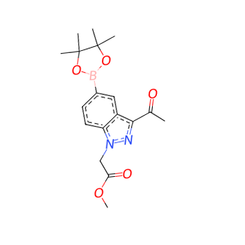 COC(=O)Cn1nc(C(C)=O)c2cc(B3OC(C)(C)C(C)(C)O3)ccc21